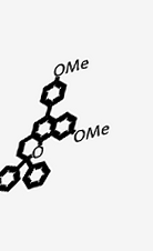 COc1ccc(-c2cc3c(c4cc(OC)ccc24)OC(c2ccccc2)(c2ccccc2)C=C3)cc1